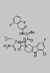 CCC(C)[C@H](NC(=O)Cc1c(F)cccc1F)C(=O)N[C@]1(C(=O)N[C@@H](CC2CC2)C(N)=S)CCc2[nH]c3c(Cl)cc(F)cc3c2C1